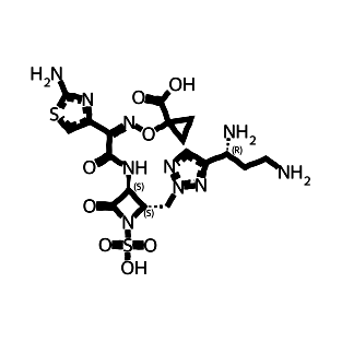 NCC[C@@H](N)c1cnn(C[C@H]2[C@H](NC(=O)C(=NOC3(C(=O)O)CC3)c3csc(N)n3)C(=O)N2S(=O)(=O)O)n1